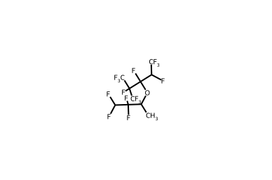 CC(OC(F)(C(F)C(F)(F)F)C(F)(C(F)(F)F)C(F)(F)F)C(F)(F)C(F)F